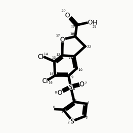 Cc1sccc1S(=O)(=O)c1cc2c(c(Cl)c1Cl)OC(C(=O)O)C2